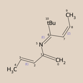 C=C(/C=C/C)/N=C(\C=C/C)C(C)(C)C